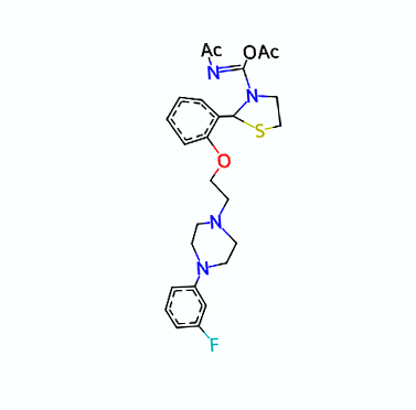 CC(=O)N=C(OC(C)=O)N1CCSC1c1ccccc1OCCN1CCN(c2cccc(F)c2)CC1